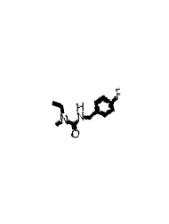 CCN(C)C(=O)NCc1ccc(F)cc1